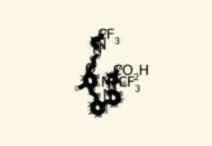 Cc1cc(OCCCn2ccc(C(F)(F)F)n2)ccc1CCc1ccccc1-c1cccc(-n2ncc(C(=O)O)c2C(F)(F)F)n1